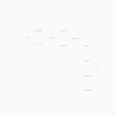 O=CCCC(N1CCC(Nc2ccc([N+](=O)[O-])c(C(F)(F)F)c2)CC1)N1CCN(c2ccc(C(F)(F)F)nc2)CC1